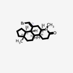 CN1C(=O)CC[C@@H]2[C@H]3CC[C@]4(C)CCC[C@H]4[C@@H]3/C(=C\Br)C[C@H]21